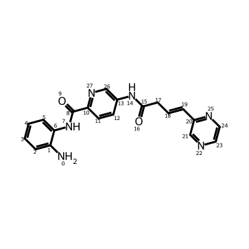 Nc1ccccc1NC(=O)c1ccc(NC(=O)C/C=C/c2cnccn2)cn1